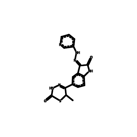 CC1SC(=O)NN=C1c1ccc2c(c1)C(=NNc1cccnc1)C(=O)N2